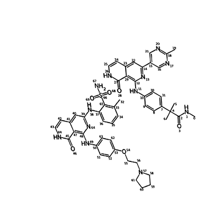 CNC(=O)C(C)(C)c1ccc(Nc2nc(-c3cnc(C)nc3)cc3cc[nH]c(=O)c23)cc1.Cc1cccc(Nc2cc3cc[nH]c(=O)c3c(Nc3ccc(OCCN4CCCC4)cc3)n2)c1S(N)(=O)=O